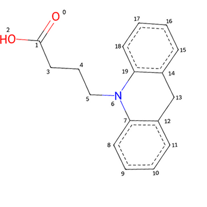 O=C(O)CCCN1c2ccccc2Cc2ccccc21